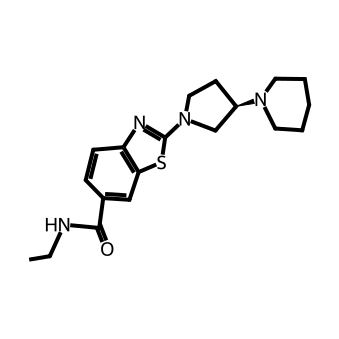 CCNC(=O)c1ccc2nc(N3CC[C@@H](N4CCCCC4)C3)sc2c1